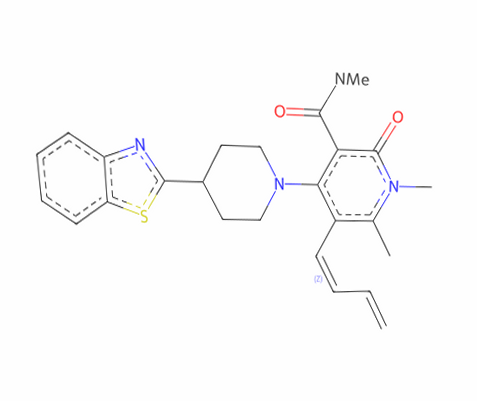 C=C/C=C\c1c(N2CCC(c3nc4ccccc4s3)CC2)c(C(=O)NC)c(=O)n(C)c1C